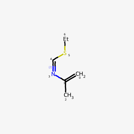 C=C(C)/N=C\SCC